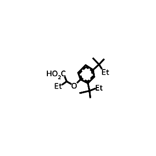 CCC(Oc1ccc(C(C)(C)CC)cc1C(C)(C)CC)C(=O)O